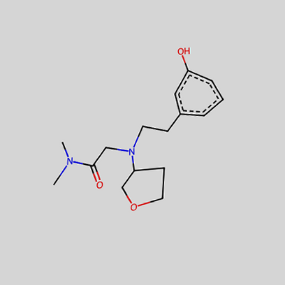 CN(C)C(=O)CN(CCc1cccc(O)c1)C1CCOC1